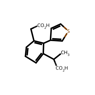 CC(C(=O)O)c1cccc(CC(=O)O)c1-c1ccsc1